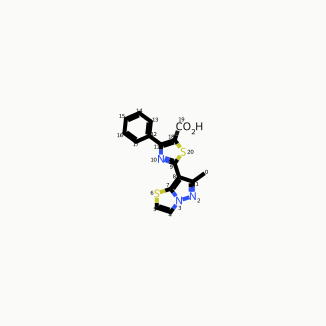 Cc1nn2ccsc2c1-c1nc(-c2ccccc2)c(C(=O)O)s1